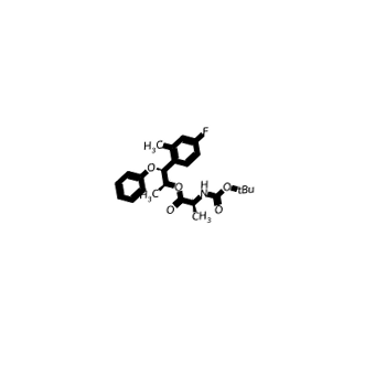 Cc1cc(F)ccc1[C@@H](Oc1ccccc1)[C@H](C)OC(=O)[C@H](C)NC(=O)OC(C)(C)C